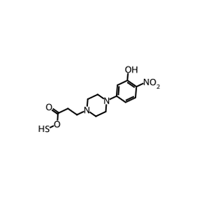 O=C(CCN1CCN(c2ccc([N+](=O)[O-])c(O)c2)CC1)OS